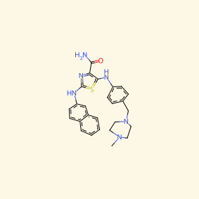 CN1CCN(Cc2ccc(Nc3sc(Nc4ccc5ccccc5c4)nc3C(N)=O)cc2)CC1